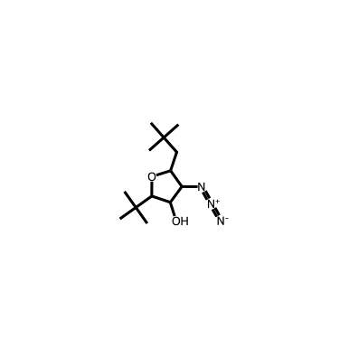 CC(C)(C)CC1OC(C(C)(C)C)C(O)C1N=[N+]=[N-]